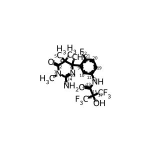 CN1C(=O)C(C)(C)C(C)(c2cc(NC(=O)C(O)(C(F)(F)F)C(F)(F)F)ccc2F)N=C1N